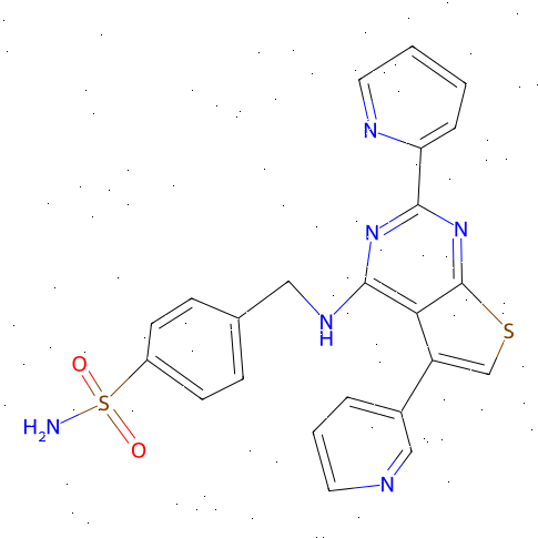 NS(=O)(=O)c1ccc(CNc2nc(-c3ccccn3)nc3scc(-c4cccnc4)c23)cc1